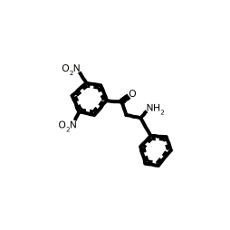 NC(CC(=O)c1cc([N+](=O)[O-])cc([N+](=O)[O-])c1)c1ccccc1